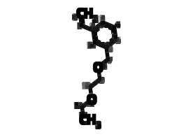 C=Cc1cccc(COCCOCC)c1